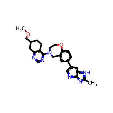 COCC1CCc2c(ncnc2N2CCOc3ccc(-c4cnc5nc(C)[nH]c5c4)cc3C2)C1